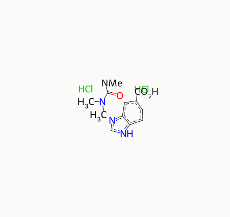 CNC(=O)N(C)C.Cl.Cl.O=C(O)c1ccc2[nH]cnc2c1